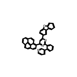 c1cncc(-c2ccccc2-c2nc(-c3ccc4oc5ccccc5c4c3)cc(-c3ccc4ccc5cccc6ccc3c4c56)n2)c1